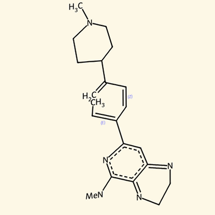 C=C(/C=C\C(=C/C)c1cc2c(c(NC)n1)=NCCN=2)C1CCN(C)CC1